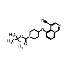 CC(C)(C)OC(=O)N1CCC(Oc2cccc3cncc(C#N)c23)CC1